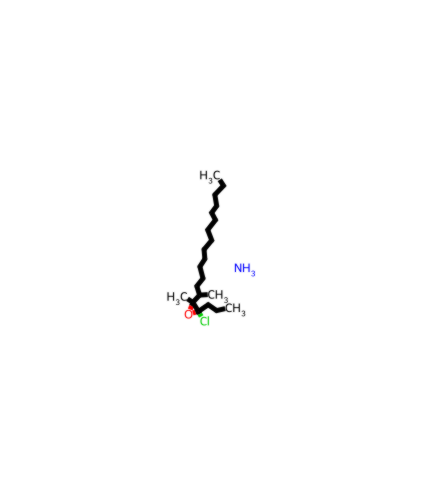 CCCCCCCCCCCCCC(C)C1(C)OC1(Cl)CCC.N